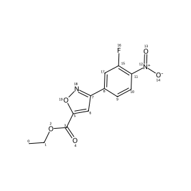 CCOC(=O)c1cc(-c2ccc([N+](=O)[O-])c(F)c2)no1